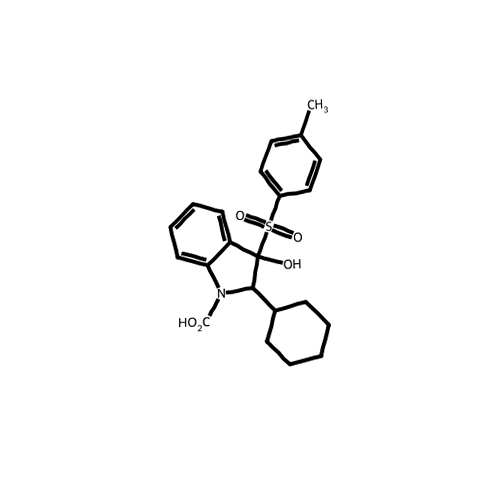 Cc1ccc(S(=O)(=O)C2(O)c3ccccc3N(C(=O)O)C2C2CCCCC2)cc1